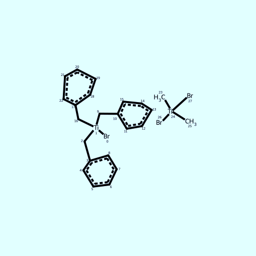 [Br][Ti]([CH2]c1ccccc1)([CH2]c1ccccc1)[CH2]c1ccccc1.[CH3][Ti]([CH3])([Br])[Br]